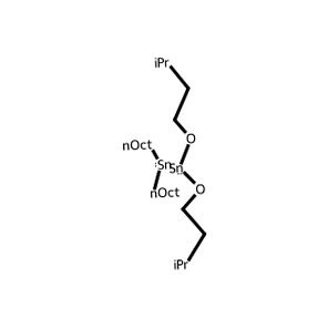 CC(C)CC[O][Sn][O]CCC(C)C.CCCCCCC[CH2][Sn][CH2]CCCCCCC